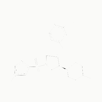 CC1CCN([C@H]2CN(S(=O)(=O)c3cn(C)cn3)C[C@@H]2Oc2cc(C(F)(F)F)ncn2)CC1